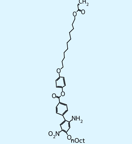 C=CC(=O)OCCCCCCCCCCCOc1ccc(OC(=O)c2ccc(-c3cc([N+](=O)[O-])c(OCCCCCCCC)cc3N)cc2)cc1